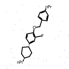 CCCc1ccc(COc2ccc([C@H]3CC[C@H](CCC)CC3)cc2F)cc1